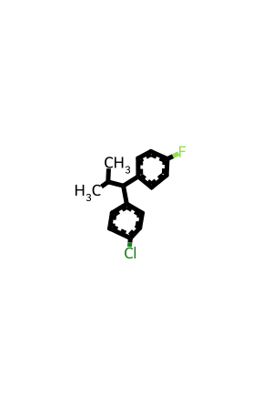 CC(C)C(c1ccc(F)cc1)c1ccc(Cl)cc1